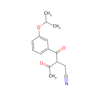 CC(=O)C(CC#N)C(=O)c1cccc(OC(C)C)c1